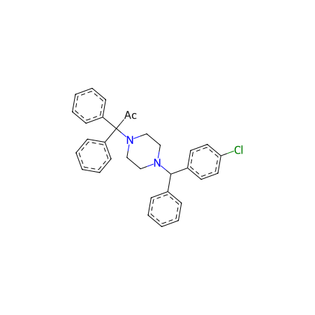 CC(=O)C(c1ccccc1)(c1ccccc1)N1CCN(C(c2ccccc2)c2ccc(Cl)cc2)CC1